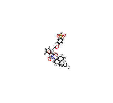 CC12CCC(CCOc3ccc(S(C)(=O)=O)cc3)(O1)C1C(=O)N(c3ccc([N+](=O)[O-])c4ccccc34)C(=O)C12